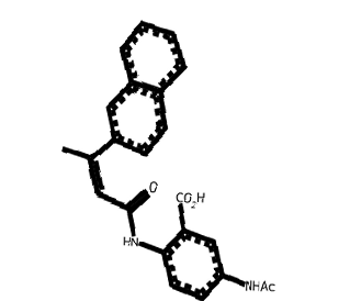 CC(=O)Nc1ccc(NC(=O)/C=C(/C)c2ccc3ccccc3c2)c(C(=O)O)c1